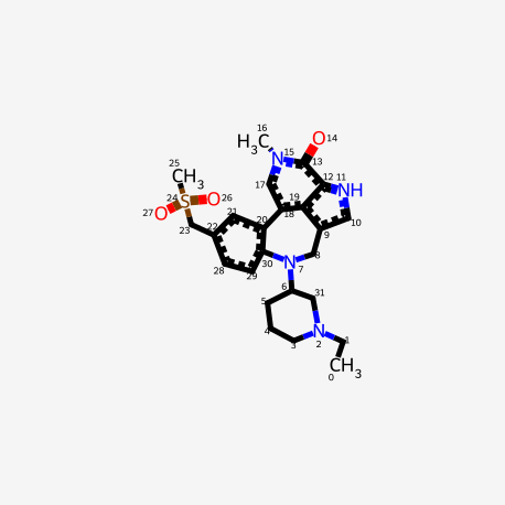 CCN1CCCC(N2Cc3c[nH]c4c(=O)n(C)cc(c34)-c3cc(CS(C)(=O)=O)ccc32)C1